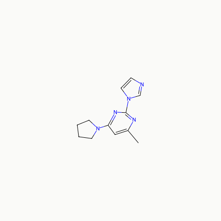 Cc1cc(N2CCCC2)nc(-n2ccnc2)n1